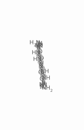 Nc1ncnc2c1ncn2CCC(=O)Nc1ccc(C(=O)Nc2ccc(/N=N/c3ccc(NC(=O)c4ccc(NC(=O)CCn5cnc6c(N)ncnc65)cc4)cc3)cc2)cc1